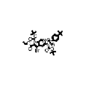 CCOC(=O)c1c(Br)c2cc(N(C(=O)OC(C)(C)C)S(=O)(=O)c3ccc(C(C)(C)C)cc3)ncc2n1C(=O)OC(C)(C)C